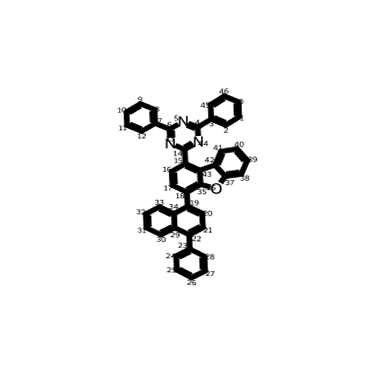 c1ccc(-c2nc(-c3ccccc3)nc(-c3ccc(-c4ccc(-c5ccccc5)c5ccccc45)c4oc5ccccc5c34)n2)cc1